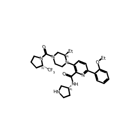 CCOc1ccccc1-c1ccc(N2CCN(C(=O)N3CCC[C@H]3C(F)(F)F)C[C@H]2CC)c(C(=O)N[C@@H]2CCNC2)n1